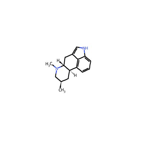 C[C@@H]1C[C@@H]2c3cccc4[nH]cc(c34)C[C@H]2N(C)C1